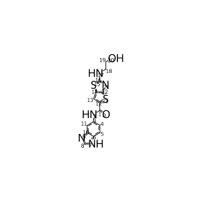 O=C(Nc1ccc2[nH]cnc2c1)c1cc2sc(NCCO)nc2s1